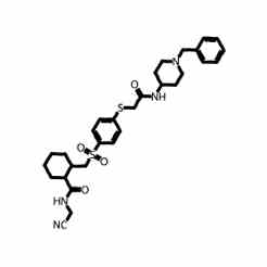 N#CCNC(=O)C1CCCCC1CS(=O)(=O)c1ccc(SCC(=O)NC2CCN(Cc3ccccc3)CC2)cc1